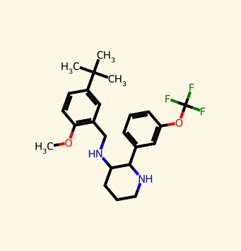 COc1ccc(C(C)(C)C)cc1CNC1CCCNC1c1cccc(OC(F)(F)F)c1